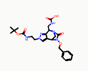 CC(C)(C)OC(=O)NCCn1cc2c(n1)C(CNC(=O)O)N1CC2N(OCc2ccccc2)C1=O